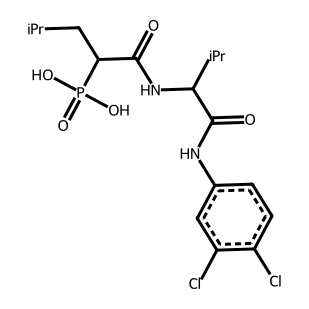 CC(C)CC(C(=O)NC(C(=O)Nc1ccc(Cl)c(Cl)c1)C(C)C)P(=O)(O)O